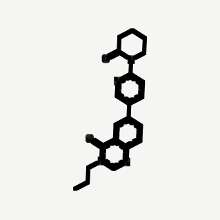 CCCn1cnc2ccc(-c3ccc(N4CCCCC4=O)nc3)cc2c1=O